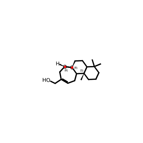 CC1(C)CCC[C@@]2(C)C1CC[C@@]13CO[C@@H]1CC(CO)=CCC23